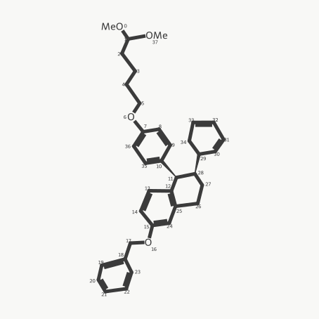 COC(CCCCOc1ccc([C@@H]2c3ccc(OCc4ccccc4)cc3CC[C@@H]2C2C=CC=CC2)cc1)OC